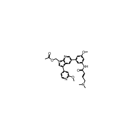 COc1cc(NC(=O)C=CCN(C)C)cc(-c2cnc3c(c2)c(-c2ccnc(OC)c2)cn3COC(C)=O)c1